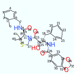 Cc1ccccc1CNC(=O)[C@H]1N(C(=O)[C@@H](O)[C@H](Cc2ccccc2)NC(=O)c2ccc3c(c2)OCO3)CSC1(C)C